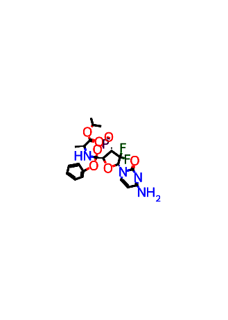 CC(C)OC(=O)[C@H](C)NC(OP=O)(Oc1ccccc1)[C@H]1[CH]C(F)(F)[C@H](n2ccc(N)nc2=O)O1